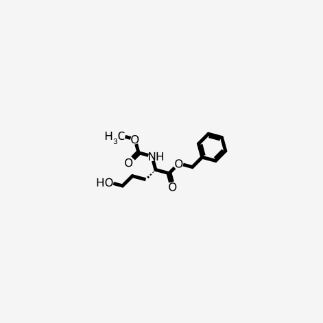 COC(=O)N[C@@H](CCCO)C(=O)OCc1ccccc1